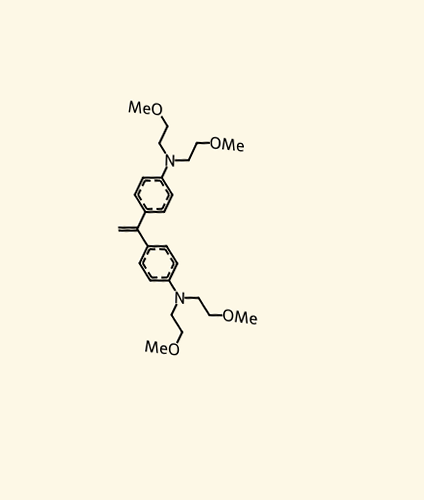 C=C(c1ccc(N(CCOC)CCOC)cc1)c1ccc(N(CCOC)CCOC)cc1